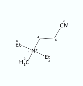 CC[N+](C)(CC)CCC#N